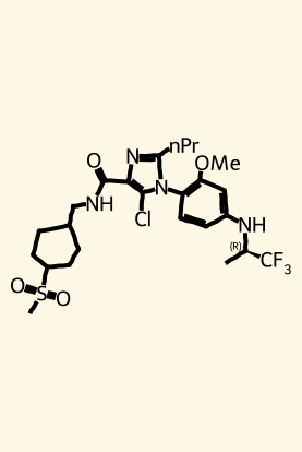 CCCc1nc(C(=O)NCC2CCC(S(C)(=O)=O)CC2)c(Cl)n1-c1ccc(N[C@H](C)C(F)(F)F)cc1OC